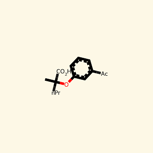 CCCC(C)(Oc1cccc(C(C)=O)c1)C(=O)O